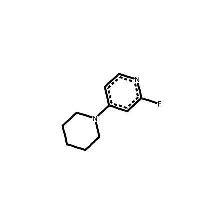 Fc1cc(N2CCCCC2)ccn1